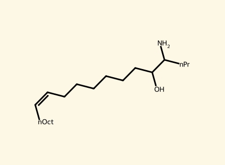 CCCCCCCC/C=C\CCCCCCC(O)C(N)CCC